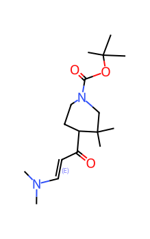 CN(C)/C=C/C(=O)C1CCN(C(=O)OC(C)(C)C)CC1(C)C